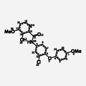 COc1ccc(Oc2ccc(NC(=O)c3nccc(OC)c3O)cc2Cl)cc1